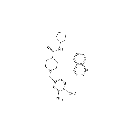 Nc1cc(CN2CCC(C(=O)NC3CCCC3)CC2)ccc1C=O.c1ccc2ncccc2c1